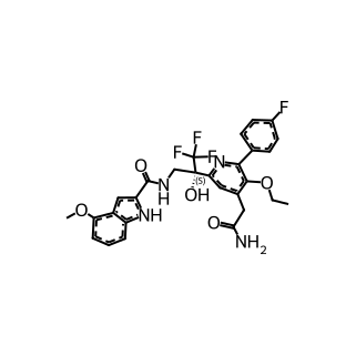 CCOc1c(CC(N)=O)cc([C@@](O)(CNC(=O)c2cc3c(OC)cccc3[nH]2)C(F)(F)F)nc1-c1ccc(F)cc1